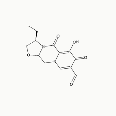 CC[C@@H]1COC2Cn3cc(C=O)c(=O)c(O)c3C(=O)N21